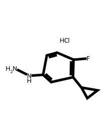 Cl.NNc1ccc(F)c(C2CC2)c1